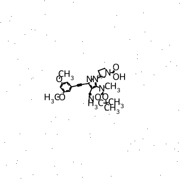 COc1cc(C#Cc2nn([C@H]3CCN(C(=O)O)C3)c(N(C)C(=O)OC(C)(C)C)c2C#N)cc(OC)c1